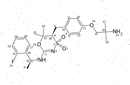 C[C@H](NC1=NS(=O)(=O)[C@H](Cc2ccc(OCC(C)(C)N)cc2)C(C)(C)O1)c1ccccc1F